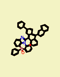 O=P1(c2ccccc2)c2ccccc2-n2c(-c3c4ccccc4c(-c4ccc5ccccc5c4)c4ccc(-c5ccccc5)cc34)nc3cccc1c32